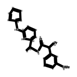 COc1cccc(C(C(=O)SC(C)c2cccc(Oc3ccccc3)n2)C(C)C)c1